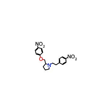 O=[N+]([O-])c1ccc(CCN2CCCC2COc2ccc([N+](=O)[O-])cc2)cc1